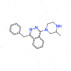 CC1CN(c2nnc(Cc3ccccc3)c3ccccc23)CCN1